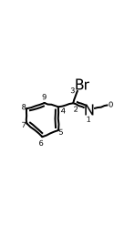 CN=C(Br)c1ccccc1